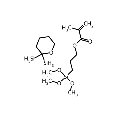 C=C(C)C(=O)OCCC[Si](OC)(OC)OC.[SiH3]C1([SiH3])CCCCO1